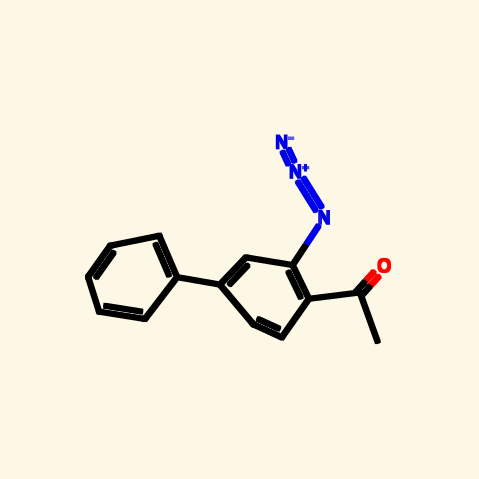 CC(=O)c1ccc(-c2ccccc2)cc1N=[N+]=[N-]